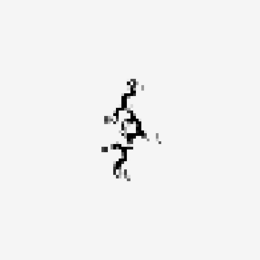 C=CCC(CO)OC(=O)CC(=C)C(=O)OC(CO)CC=C